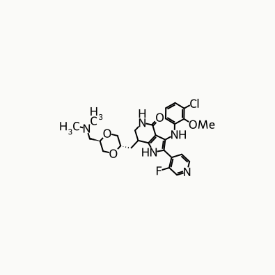 COc1c(Cl)cccc1Nc1c(-c2ccncc2F)[nH]c2c1C(=O)NCC2C[C@H]1CO[C@H](CN(C)C)CO1